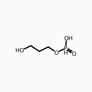 O=[PH](O)OCCCO